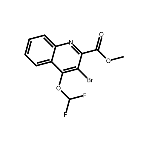 COC(=O)c1nc2ccccc2c(OC(F)F)c1Br